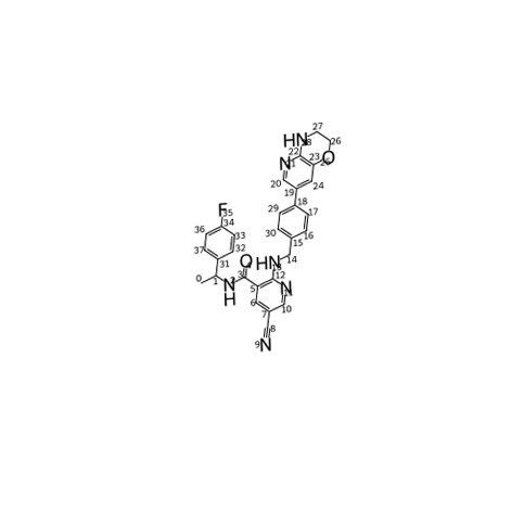 CC(NC(=O)c1cc(C#N)cnc1NCc1ccc(-c2cnc3c(c2)OCCN3)cc1)c1ccc(F)cc1